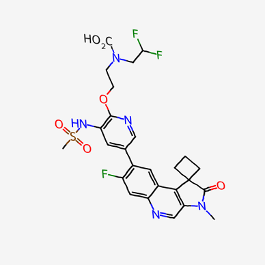 CN1C(=O)C2(CCC2)c2c1cnc1cc(F)c(-c3cnc(OCCN(CC(F)F)C(=O)O)c(NS(C)(=O)=O)c3)cc21